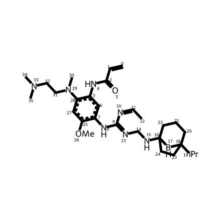 C=CC(=O)Nc1cc(NC(/N=C\C)=N/CNC23BC(C(C)C)(CCC2)CC3)c(OC)cc1N(C)CCN(C)C